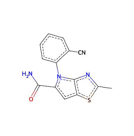 Cc1nc2c(cc(C(N)=O)n2-c2ccccc2C#N)s1